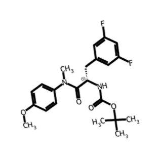 COc1ccc(N(C)C(=O)[C@H](Cc2cc(F)cc(F)c2)NC(=O)OC(C)(C)C)cc1